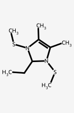 CCC1N(SC)C(C)=C(C)N1SC